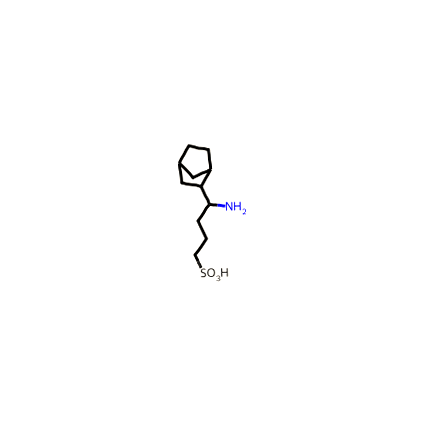 NC(CCCS(=O)(=O)O)C1CC2CCC1C2